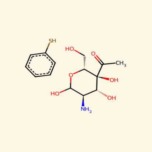 CC(=O)[C@]1(O)[C@H](O)[C@@H](N)C(O)O[C@@H]1CO.Sc1ccccc1